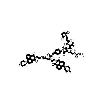 CC(C)C(NC(=O)CCN1C(=O)C=CC1=O)C(=O)N[C@@H](CCCNC(N)=O)C(=O)Nc1ccc(COC(=O)N(CCCNCCN2C(=O)c3cccc4c(N5CCN(C)CC5)ccc(c34)C2=O)CCN2C(=O)c3cccc4c(N5CCN(C)CC5)ccc(c34)C2=O)cc1